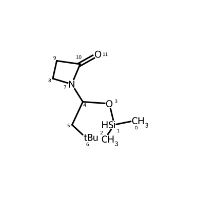 C[SiH](C)OC(CC(C)(C)C)N1CCC1=O